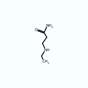 CCNCCC(N)=O